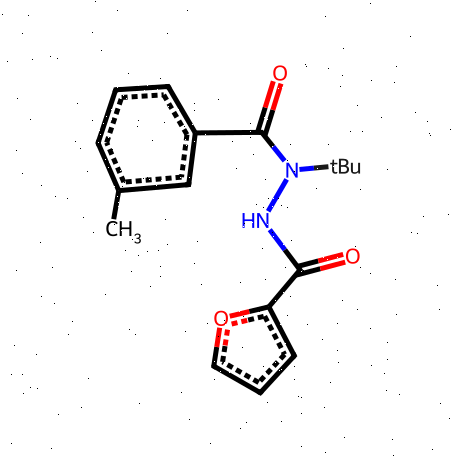 Cc1cccc(C(=O)N(NC(=O)c2ccco2)C(C)(C)C)c1